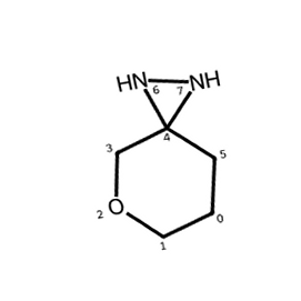 C1COCC2(C1)NN2